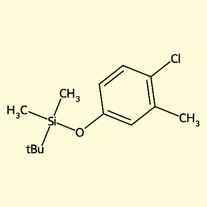 Cc1cc(O[Si](C)(C)C(C)(C)C)ccc1Cl